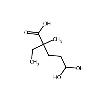 CCC(C)(CCC(O)O)C(=O)O